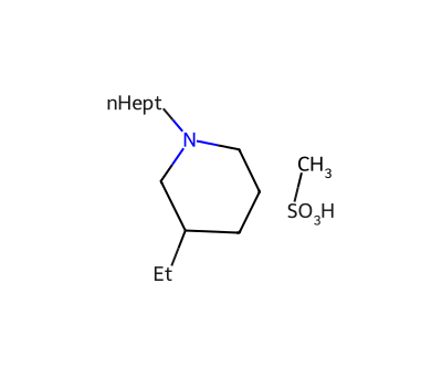 CCCCCCCN1CCCC(CC)C1.CS(=O)(=O)O